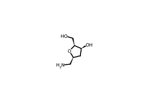 NC[C@@H]1C[C@H](O)[C@H](CO)O1